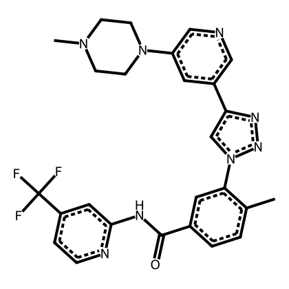 Cc1ccc(C(=O)Nc2cc(C(F)(F)F)ccn2)cc1-n1cc(-c2cncc(N3CCN(C)CC3)c2)nn1